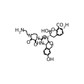 NCCN1CCN(C(=O)N[C@@H](C(=O)N[C@H]2Cc3cccc(C(=O)O)c3OB2O)c2ccc(O)cc2F)C(=O)C1=O